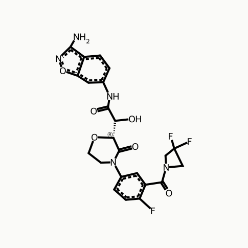 Nc1noc2cc(NC(=O)C(O)[C@H]3OCCN(c4ccc(F)c(C(=O)N5CC(F)(F)C5)c4)C3=O)ccc12